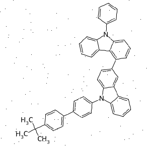 CC(C)(C)c1ccc(-c2ccc(-n3c4ccccc4c4cc(-c5cccc6c5c5ccccc5n6-c5ccccc5)ccc43)cc2)cc1